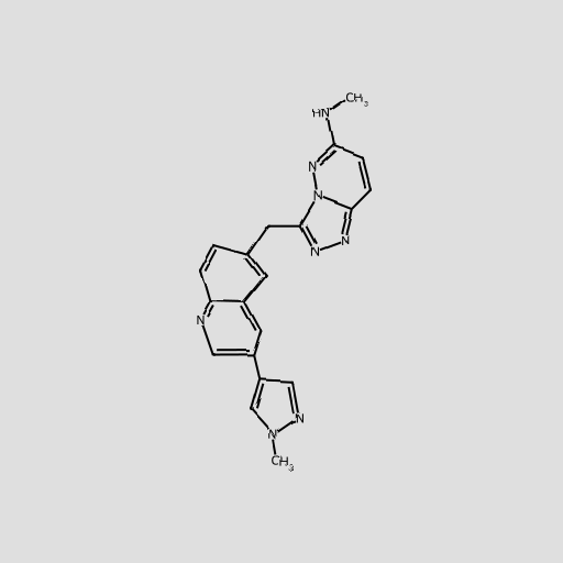 CNc1ccc2nnc(Cc3ccc4ncc(-c5cnn(C)c5)cc4c3)n2n1